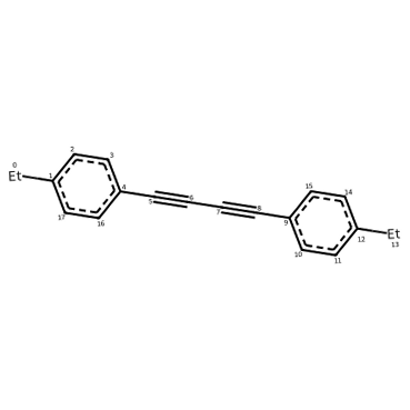 CCc1ccc(C#CC#Cc2ccc(CC)cc2)cc1